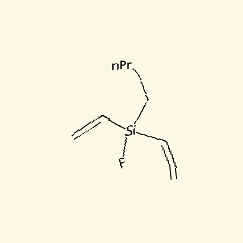 C=C[Si](F)(C=C)CCCC